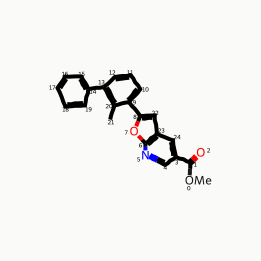 COC(=O)c1cnc2oc(-c3cccc(-c4ccccc4)c3C)cc2c1